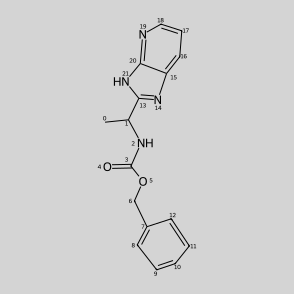 CC(NC(=O)OCc1ccccc1)c1nc2cccnc2[nH]1